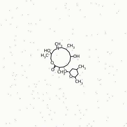 CC1CC(C)O[C@@H](O[C@H]2CCC(O)C[C@@H](C)CN(C)C[C@](C)(O)COC(=O)C2C)C1